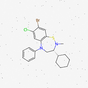 CN1Sc2cc(Br)c(Cl)cc2N(c2ccccc2)C[C@H]1C1CCCCC1